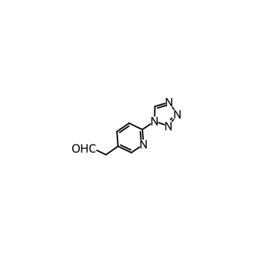 O=CCc1ccc(-n2cnnn2)nc1